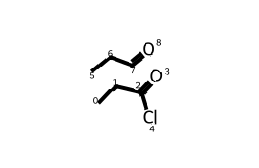 CCC(=O)Cl.CCC=O